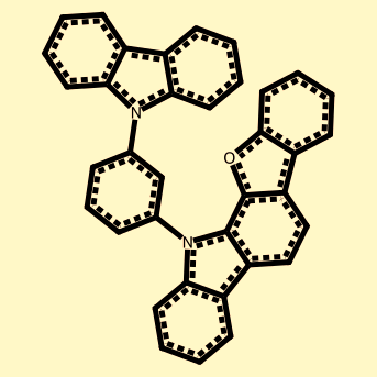 c1cc(-n2c3ccccc3c3ccccc32)cc(-n2c3ccccc3c3ccc4c5ccccc5oc4c32)c1